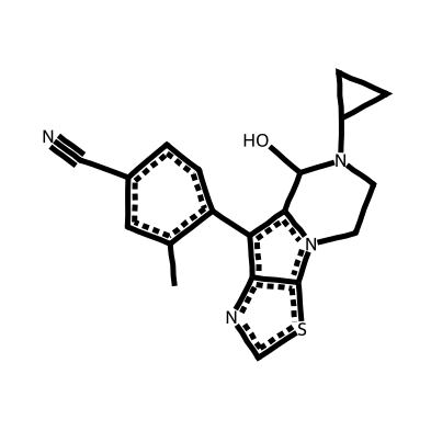 Cc1cc(C#N)ccc1-c1c2n(c3scnc13)CCN(C1CC1)C2O